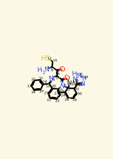 CNC1(N2C(=O)C(C(=O)C(N)CS)N=C(c3ccccc3)c3ccccc32)C(C)=CC=CC1c1nnn[nH]1